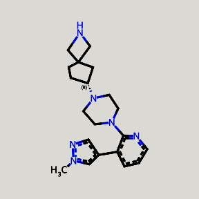 Cn1cc(-c2cccnc2N2CCN([C@@H]3CCC4(CNC4)C3)CC2)cn1